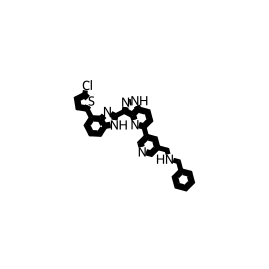 Clc1ccc(-c2cccc3[nH]c(-c4n[nH]c5ccc(-c6cncc(CNCc7ccccc7)c6)nc45)nc23)s1